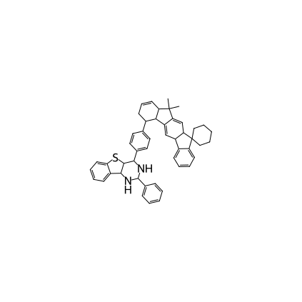 CC1(C)C2=CC3C(C=C2C2C(c4ccc(C5NC(c6ccccc6)NC6c7ccccc7SC56)cc4)CC=CC21)c1ccccc1C31CCCCC1